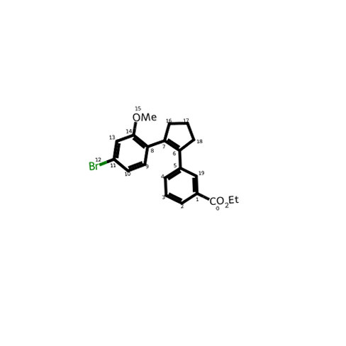 CCOC(=O)c1cccc(C2=C(c3ccc(Br)cc3OC)CCC2)c1